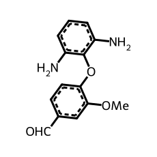 COc1cc(C=O)ccc1Oc1c(N)cccc1N